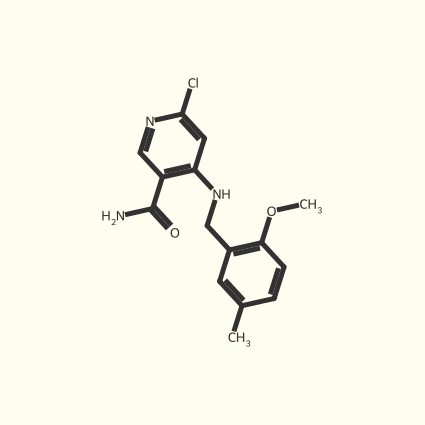 COc1ccc(C)cc1CNc1cc(Cl)ncc1C(N)=O